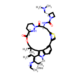 C=C/C(=C(\N=C/C)[C@H](C)OC)c1c2c3cc(ccc3n1CC)-c1csc(n1)C[C@H](NC(=O)N1CC[C@H]1CN(C)C)C(=O)N1CCC[C@H](N1)C(=O)OCC(C)(C)C2